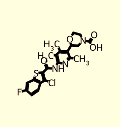 Cc1nc(NC(=O)c2sc3cc(F)ccc3c2Cl)c(C)c(C)c1C1CN(C(=O)O)CCO1